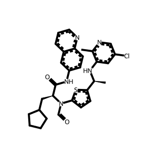 Cc1ncc(Cl)cc1N[C@@H](C)c1ccc(N(C=O)[C@@H](CC2CCCC2)C(=O)Nc2ccc3ncccc3c2)s1